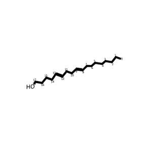 CCCCCCCC/C=C/CC/C=C/CCCCO